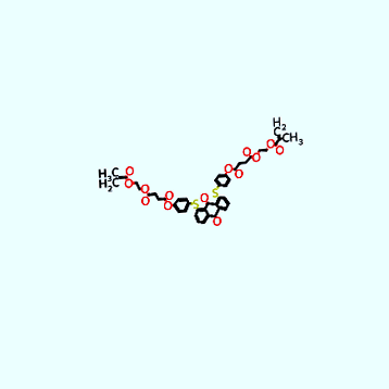 C=C(C)C(=O)OCCOC(=O)CCC(=O)Oc1ccc(Sc2cccc3c2C(=O)c2c(Sc4ccc(OC(=O)CCC(=O)OCCOC(=O)C(=C)C)cc4)cccc2C3=O)cc1